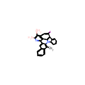 Bc1nc2c3cc4ccccc4c(C)c3n3c4ccccc4c4c(I)cc(c1B)c2c43